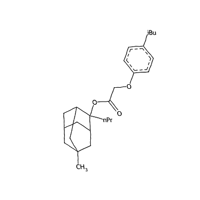 CCCC1(OC(=O)COc2ccc(C(C)CC)cc2)C2CC3CC1CC(C)(C3)C2